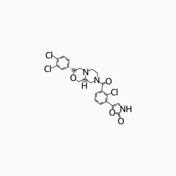 O=C(c1cccc(-c2c[nH]c(=O)o2)c1Cl)N1CCN2C[C@@H](c3ccc(Cl)c(Cl)c3)OC[C@@H]2C1